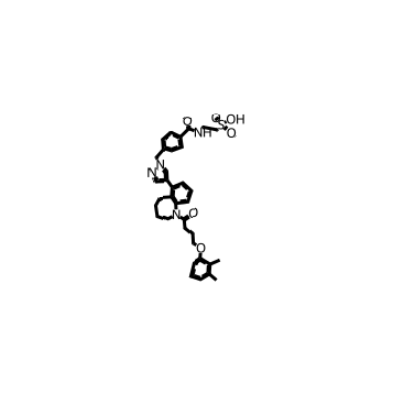 Cc1cccc(OCCCC(=O)N2CCCCc3c(-c4cnn(Cc5ccc(C(=O)NCCS(=O)(=O)O)cc5)c4)cccc32)c1C